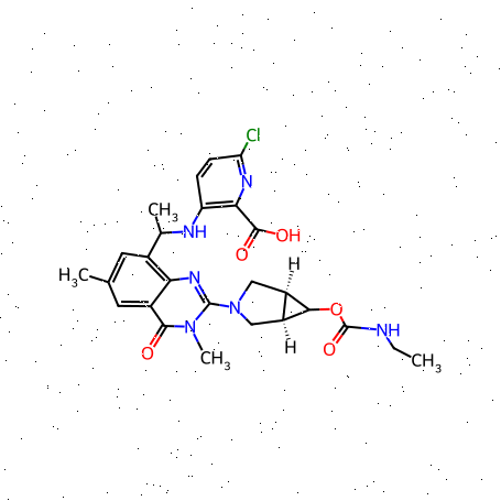 CCNC(=O)OC1[C@H]2CN(c3nc4c(C(C)Nc5ccc(Cl)nc5C(=O)O)cc(C)cc4c(=O)n3C)C[C@@H]12